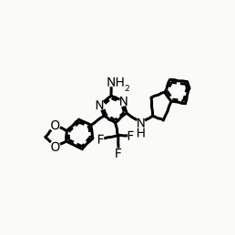 Nc1nc(NC2Cc3ccccc3C2)c(C(F)(F)F)c(-c2ccc3c(c2)OCO3)n1